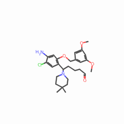 COc1cc(COc2cc(N)c(Cl)cc2C(CCCC=O)N2CCC(C)(C)CC2)cc(OC)c1